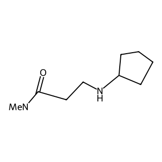 CNC(=O)CCNC1CCCC1